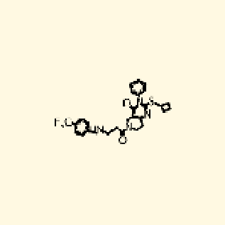 O=C(CCNCc1ccc(C(F)(F)F)cc1)N1CCc2nc(SC3CCC3)n(-c3ccccc3)c(=O)c2C1